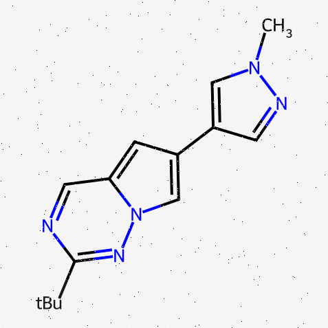 Cn1cc(-c2cc3cnc(C(C)(C)C)nn3c2)cn1